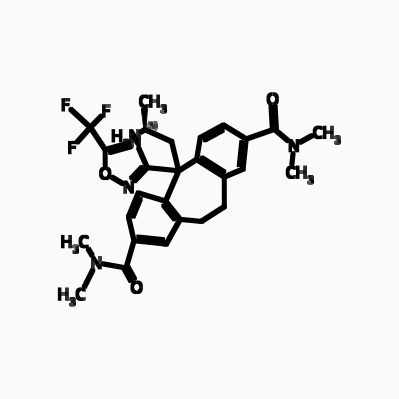 C[C@H](N)CC1(c2noc(C(F)(F)F)n2)c2ccc(C(=O)N(C)C)cc2CCc2cc(C(=O)N(C)C)ccc21